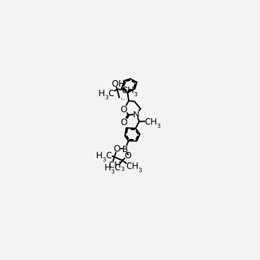 CC(c1ccc(B2OC(C)(C)C(C)(C)O2)cc1)N1CC[C@](CC(C)(C)O)(c2ccccc2)OC1=O